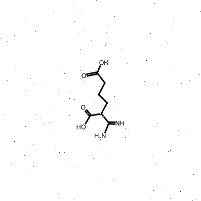 N=C(N)C(CCCC(=O)O)C(=O)O